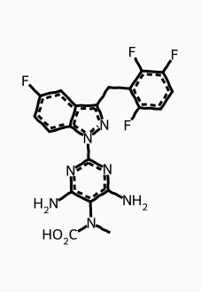 CN(C(=O)O)c1c(N)nc(-n2nc(Cc3c(F)ccc(F)c3F)c3cc(F)ccc32)nc1N